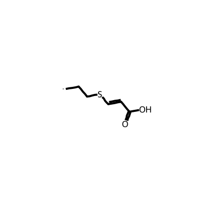 [CH2]CCSC=CC(=O)O